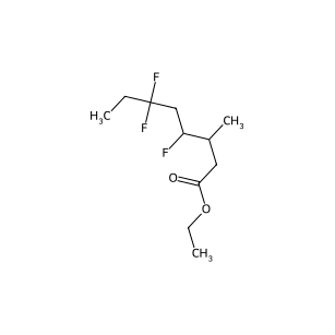 CCOC(=O)CC(C)C(F)CC(F)(F)CC